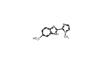 Cn1ccnc1-c1nc2ccc(C(=O)O)cc2[nH]1